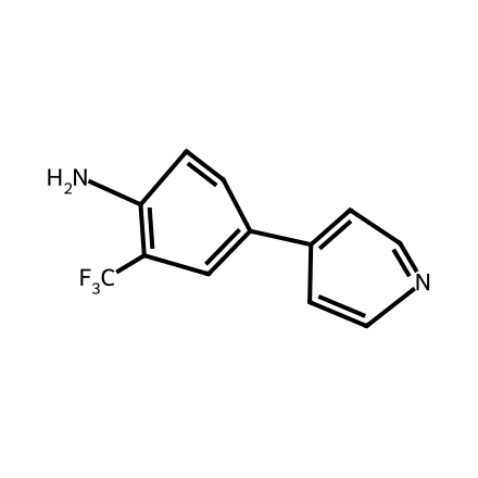 Nc1ccc(-c2ccncc2)cc1C(F)(F)F